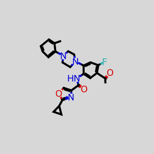 CC(=O)c1cc(NC(=O)c2coc(C3CC3)n2)c(N2CCN(c3ccccc3C)CC2)cc1F